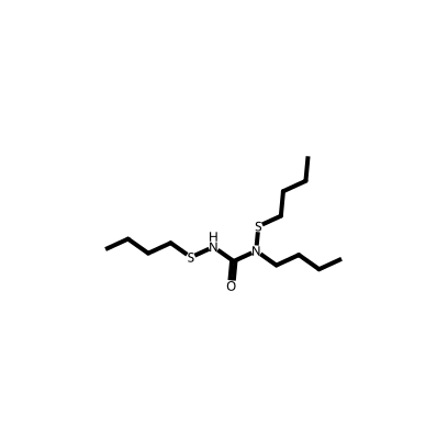 CCCCSNC(=O)N(CCCC)SCCCC